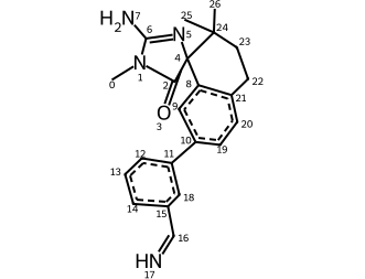 CN1C(=O)C2(N=C1N)c1cc(-c3cccc(C=N)c3)ccc1CCC2(C)C